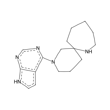 c1nc(N2CCCC3(CCCCCN3)C2)c2cc[nH]c2n1